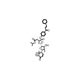 COC1(C)NC(=O)C=CN1[C@@H]1O[C@H](COP(=O)(N[C@@H](C)C(=O)OC(C)C)Oc2ccc(C(=O)/C=C/c3ccccc3)cc2)[C@@H](O)[C@@]1(C)F